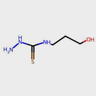 NNC(=S)NCCCO